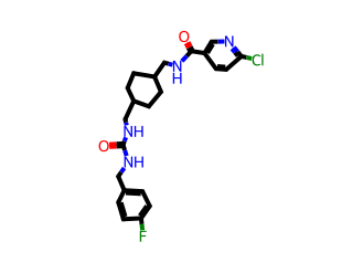 O=C(NCc1ccc(F)cc1)NCC1CCC(CNC(=O)c2ccc(Cl)nc2)CC1